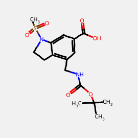 CC(C)(C)OC(=O)NCc1cc(C(=O)O)cc2c1CCN2S(C)(=O)=O